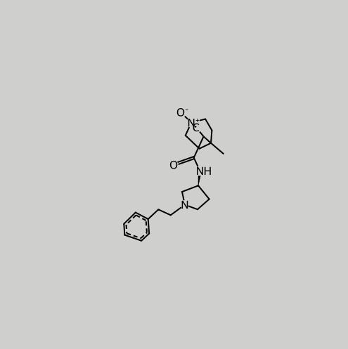 CC12CC[N+]([O-])(CC1)CC2C(=O)N[C@H]1CCN(CCc2ccccc2)C1